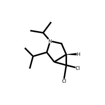 CC(C)C1C2[C@H](CN1C(C)C)C2(Cl)Cl